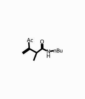 C=C(C(C)=O)C(C)C(=O)NCCCC